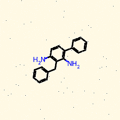 Nc1ccc(-c2ccccc2)c(N)c1Cc1ccccc1